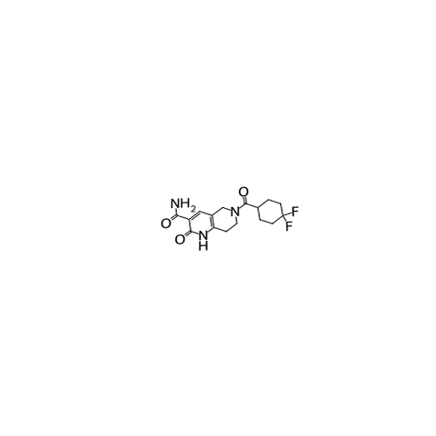 NC(=O)c1cc2c([nH]c1=O)CCN(C(=O)C1CCC(F)(F)CC1)C2